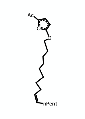 CCCCC/C=C\CCCCCCCCOc1ccc(C(C)=O)o1